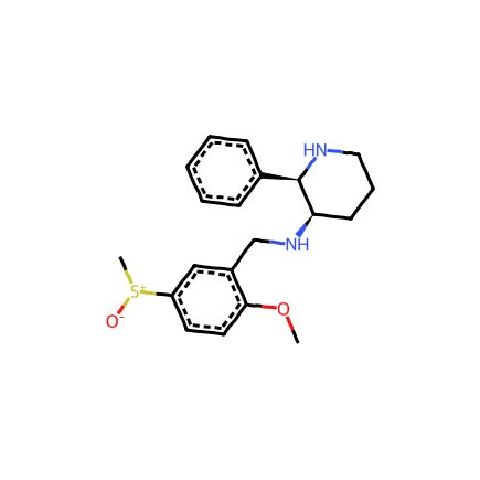 COc1ccc([S+](C)[O-])cc1CN[C@@H]1CCCN[C@@H]1c1ccccc1